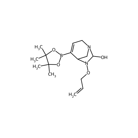 C=CCON1C2CN(CC=C2B2OC(C)(C)C(C)(C)O2)C1O